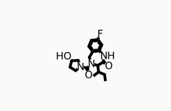 CCC(C)C1C(=O)Nc2cc(F)ccc2CN1C(=O)N1CCC(O)C1